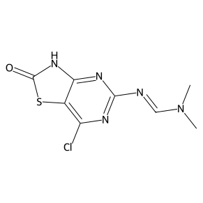 CN(C)C=Nc1nc(Cl)c2sc(=O)[nH]c2n1